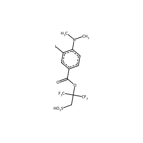 CN(C)c1ccc(C(=O)OC(CS(=O)(=O)O)(C(F)(F)F)C(F)(F)F)cc1I